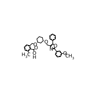 COc1cccc(-c2nc(CO[C@H]3CCC[C@@H](OCc4cccc(C)c4C(=O)O)C3)c(-c3ccccc3)o2)c1